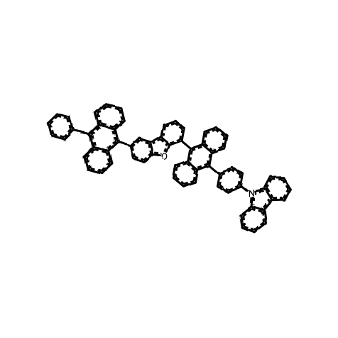 c1ccc(-c2c3ccccc3c(-c3ccc4oc5c(-c6c7ccccc7c(-c7ccc(-n8c9ccccc9c9ccccc98)cc7)c7ccccc67)cccc5c4c3)c3ccccc23)cc1